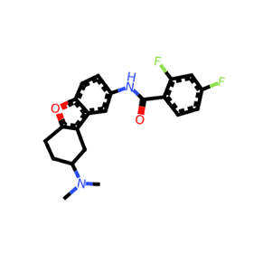 CN(C)C1CCc2oc3ccc(NC(=O)c4ccc(F)cc4F)cc3c2C1